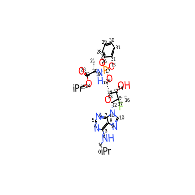 CC(C)CNc1ncnc2c1ncn2[C@@H]1O[C@H](CO[P@](=O)(N[C@@H](C)C(=O)OC(C)C)Oc2ccccc2)[C@@H](O)[C@@]1(C)F